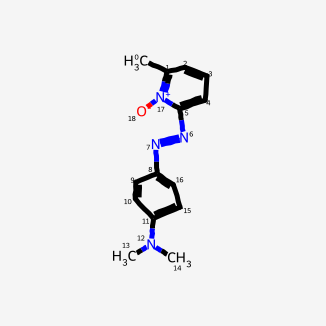 Cc1cccc(N=Nc2ccc(N(C)C)cc2)[n+]1[O-]